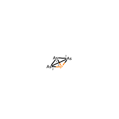 P12[As]3[As]1[As]23